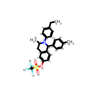 CCc1ccc(N2C(C)Cc3cc(OS(=O)(=O)C(F)(F)F)ccc3C2c2ccc(C)cc2)cc1